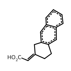 O=C(O)C=C1CCc2cc3ccccc3cc2C1